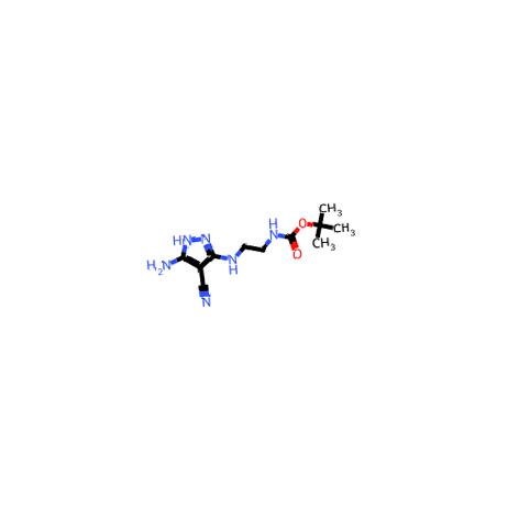 CC(C)(C)OC(=O)NCCNc1n[nH]c(N)c1C#N